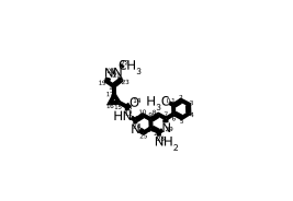 Cc1ccccc1-c1cc2cc(NC(=O)C3CC3c3cnn(C)c3)ncc2c(N)n1